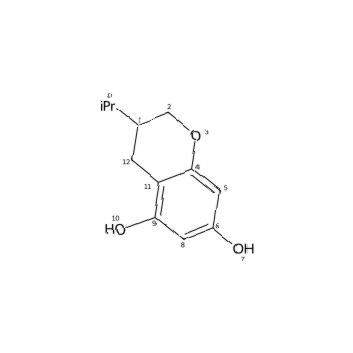 CC(C)C1COc2cc(O)cc(O)c2C1